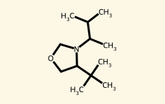 CC(C)C(C)N1COCC1C(C)(C)C